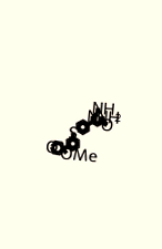 COC1(c2cccc(Sc3ccc(-c4cc(=O)[nH]c(N)n4)cc3)c2)CCOCC1